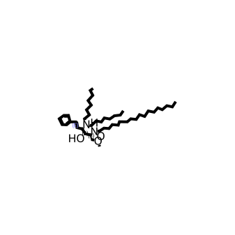 CCCCCCCCCCCCCCCCCC(=O)N[C@@H](COC)[C@H](O)C(/C=C/c1ccccc1)N(CCCCCCCC)CCCCCCCC